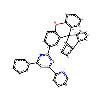 c1ccc(-c2cc(-c3ccccn3)nc(-c3ccc4c(c3)C3(c5ccccc5O4)c4ccccc4-c4ccccc43)n2)cc1